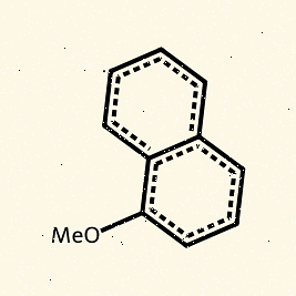 COc1cccc2cc[c]cc12